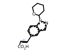 O=C(O)/C=C/c1ccc2c(cnn2C2CCCCO2)c1